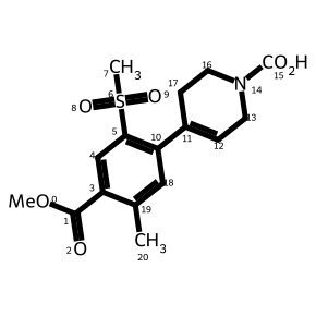 COC(=O)c1cc(S(C)(=O)=O)c(C2=CCN(C(=O)O)CC2)cc1C